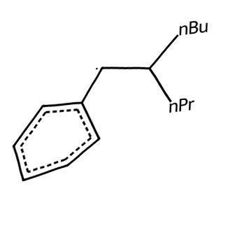 CCCCC([CH]c1ccccc1)CCC